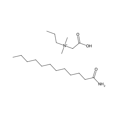 CCCCCCCCCCCC(N)=O.CCC[N+](C)(C)CC(=O)O